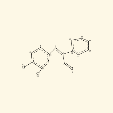 O=CC(=Cc1ccc(Cl)c(Cl)c1)c1ccccc1